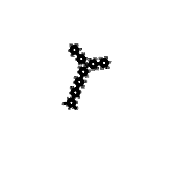 Cc1cc(C)cc(-c2ccc(-c3ccc(-c4ccc(N(c5ccc(-c6ccccc6)cc5)c5ccc(-c6ccccc6)cc5)cc4)cc3)cc2)c1